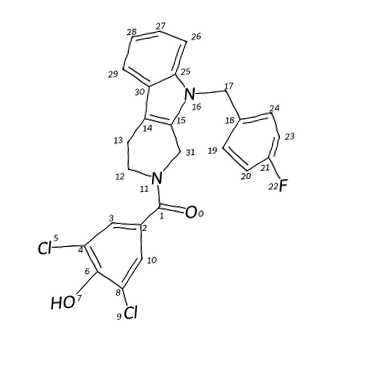 O=C(c1cc(Cl)c(O)c(Cl)c1)N1CCc2c(n(Cc3ccc(F)cc3)c3ccccc23)C1